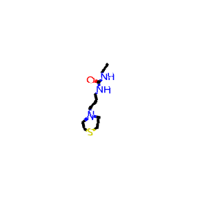 CCNC(=O)NCCCN1CCSCC1